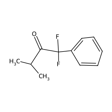 CC(C)C(=O)C(F)(F)c1ccccc1